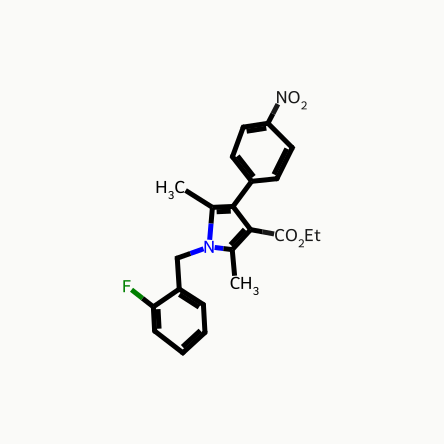 CCOC(=O)c1c(-c2ccc([N+](=O)[O-])cc2)c(C)n(Cc2ccccc2F)c1C